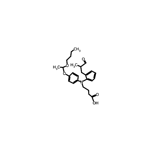 CCCCOC(C)Oc1ccc(N(CCCC(=O)O)c2ccccc2CC(C)C=O)cc1